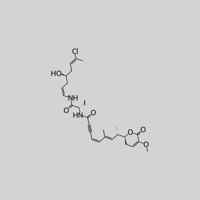 COC1=CC[C@@H]([C@@H](C)/C=C(C)/C=C\C#CC(=O)N[C@@H](I)C(=O)N/C=C\C[C@@H](O)C/C=C(\C)Cl)OC1=O